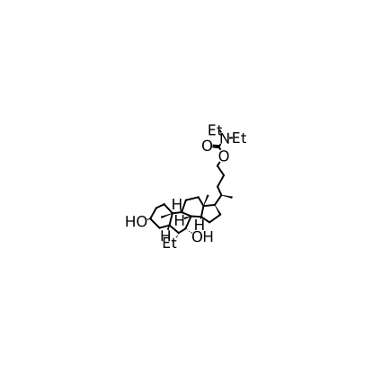 CC[C@H]1[C@@H](O)[C@@H]2[C@H](CC[C@]3(C)[C@@H]([C@H](C)CCCOC(=O)N(CC)CC)CC[C@@H]23)[C@@]2(C)CC[C@@H](O)C[C@@H]12